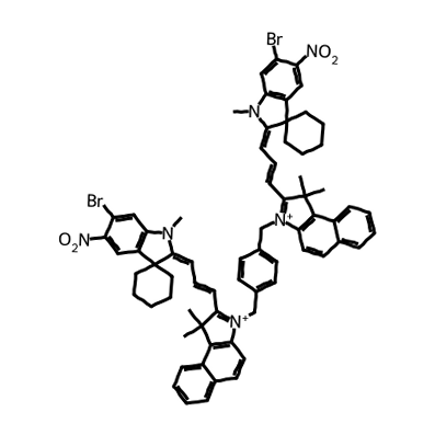 CN1/C(=C/C=C/C2=[N+](Cc3ccc(C[N+]4=C(/C=C/C=C5/N(C)c6cc(Br)c([N+](=O)[O-])cc6C56CCCCC6)C(C)(C)c5c4ccc4ccccc54)cc3)c3ccc4ccccc4c3C2(C)C)C2(CCCCC2)c2cc([N+](=O)[O-])c(Br)cc21